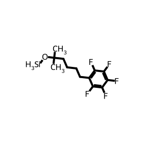 CC(C)(CCCCc1c(F)c(F)c(F)c(F)c1F)O[SiH3]